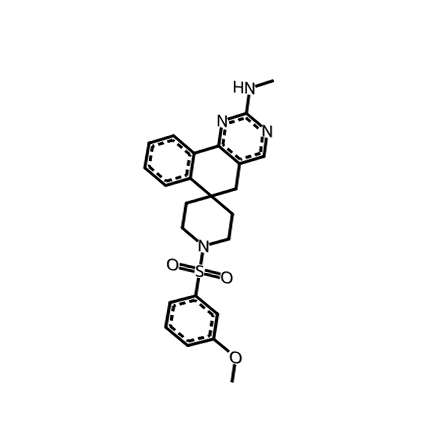 CNc1ncc2c(n1)-c1ccccc1C1(CCN(S(=O)(=O)c3cccc(OC)c3)CC1)C2